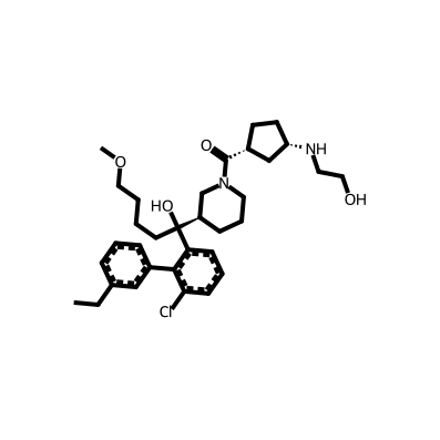 CCc1cccc(-c2c(Cl)cccc2C(O)(CCCCOC)[C@@H]2CCCN(C(=O)[C@@H]3CC[C@H](NCCO)C3)C2)c1